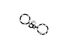 C=C1c2sc(C3CCCCCCCCCCCCCCC3)nc2CCN1C1CCCCCCCCCCCCCC1